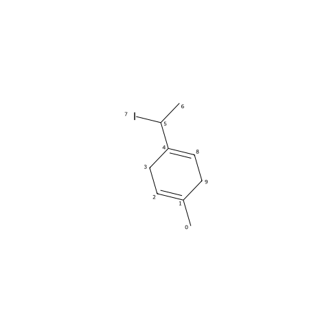 CC1=CCC(C(C)I)=CC1